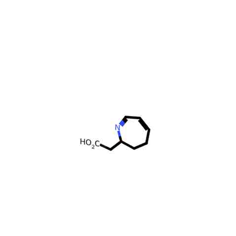 O=C(O)CC1CCC=CC=N1